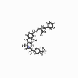 C/C(=C\C(=O)c1ccc(C(F)(F)F)cc1)N[C@@H](Cc1ccc(OCCc2nc(-c3ccccc3)sc2C)cc1)C(=O)O